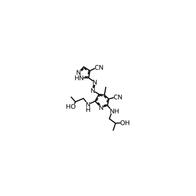 Cc1c(C#N)c(NCC(C)O)nc(NCC(C)O)c1N=Nc1[nH]ncc1C#N